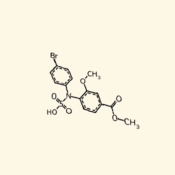 COC(=O)c1ccc(N(c2ccc(Br)cc2)S(=O)(=O)O)c(OC)c1